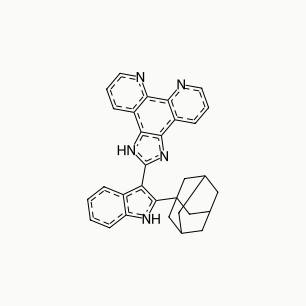 c1ccc2c(-c3nc4c5cccnc5c5ncccc5c4[nH]3)c(C34CC5CC(CC(C5)C3)C4)[nH]c2c1